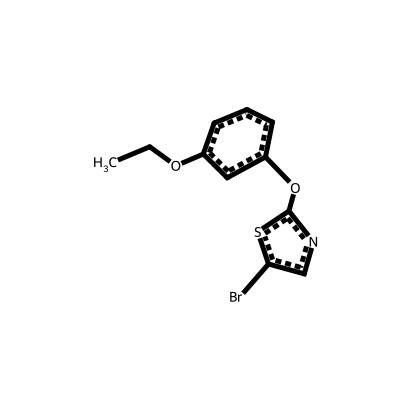 CCOc1cccc(Oc2ncc(Br)s2)c1